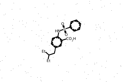 CCC(CC)Cc1ccc(NS(=O)(=O)c2ccccc2)c(C(=O)O)c1